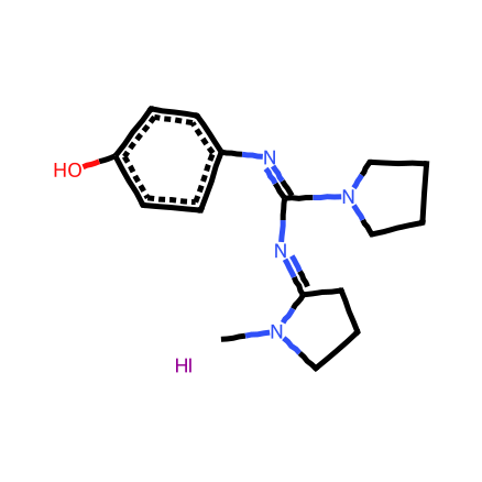 CN1CCCC1=NC(=Nc1ccc(O)cc1)N1CCCC1.I